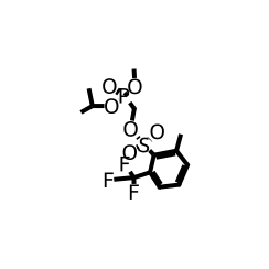 COP(=O)(COS(=O)(=O)c1c(C)cccc1C(F)(F)F)OC(C)C